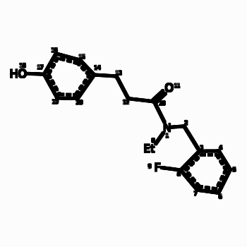 CCN(Cc1ccccc1F)C(=O)CCc1ccc(O)cc1